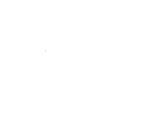 CC(NCC(Cc1cccc2ccccc12)Cc1cccc2ccccc12)C(N)=O